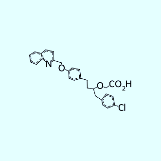 O=C(O)COC(CCc1ccc(OCc2ccc3ccccc3n2)cc1)Cc1ccc(Cl)cc1